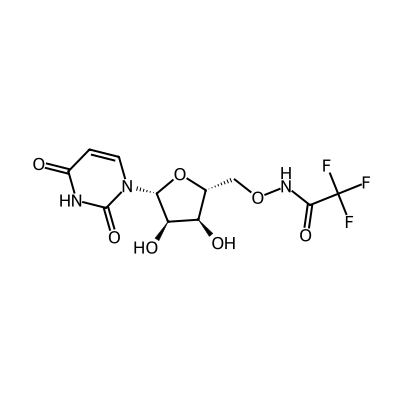 O=C(NOC[C@H]1O[C@@H](n2ccc(=O)[nH]c2=O)[C@H](O)[C@@H]1O)C(F)(F)F